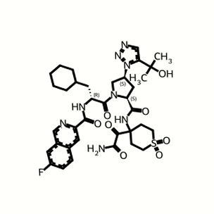 CC(C)(O)c1cnnn1[C@H]1C[C@@H](C(=O)NC2(C(=O)C(N)=O)CCS(=O)(=O)CC2)N(C(=O)[C@@H](CC2CCCCC2)NC(=O)c2cc3ccc(F)cc3cn2)C1